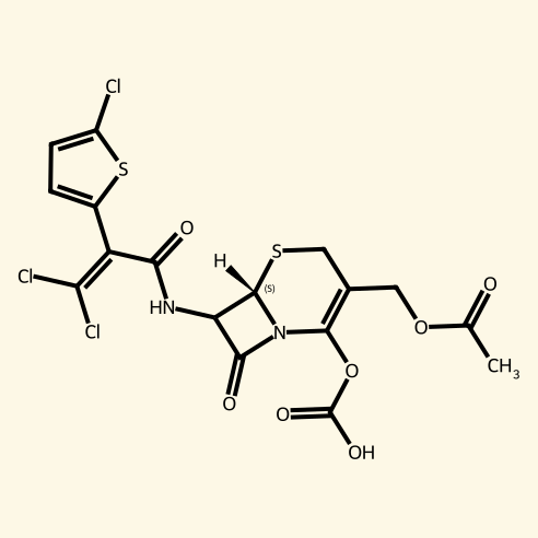 CC(=O)OCC1=C(OC(=O)O)N2C(=O)C(NC(=O)C(=C(Cl)Cl)c3ccc(Cl)s3)[C@@H]2SC1